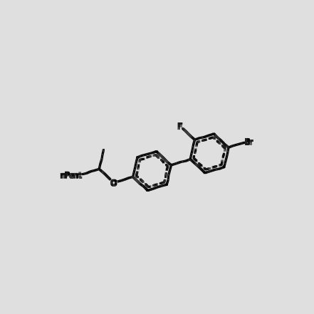 CCCCCC(C)Oc1ccc(-c2ccc(Br)cc2F)cc1